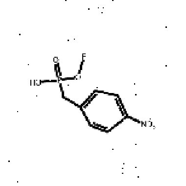 O=[N+]([O-])c1ccc(CP(=O)(O)OF)cc1